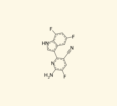 N#Cc1cc(F)c(N)nc1-c1c[nH]c2c(F)cc(F)cc12